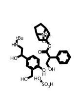 CC(C)(C)NCC(O)c1ccc(O)c(CO)c1.CC(C)[N+]1(C)C2CCC1CC(OC(=O)C(CO)c1ccccc1)C2.O=S(=O)(O)O